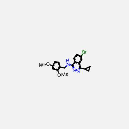 COc1ccc(CNc2nnc(C3CC3)c3cc(Br)ccc23)c(OC)c1